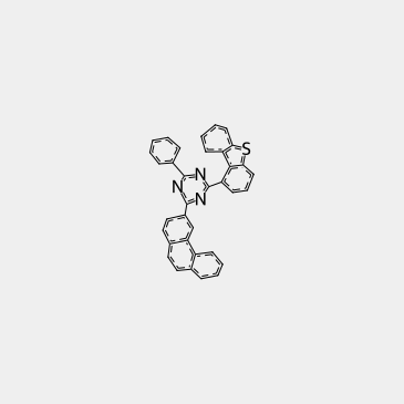 c1ccc(-c2nc(-c3ccc4ccc5ccccc5c4c3)nc(-c3cccc4sc5ccccc5c34)n2)cc1